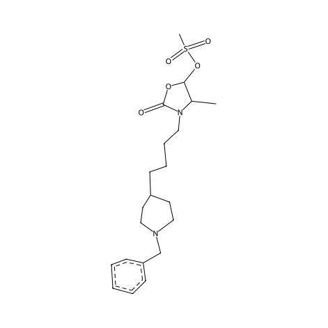 CC1C(OS(C)(=O)=O)OC(=O)N1CCCCC1CCN(Cc2ccccc2)CC1